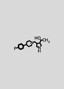 CC(O)C1CNCC1CN1CCC(c2ccc(F)cc2)CC1